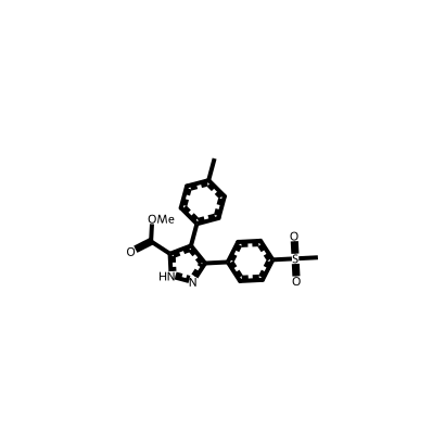 COC(=O)c1[nH]nc(-c2ccc(S(C)(=O)=O)cc2)c1-c1ccc(C)cc1